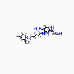 CCC1CC(C)CCN1CCCCCCNc1cc(NC=N)ccc1N